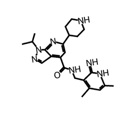 Cc1cc(C)c(CNC(=O)c2cc(C3CCNCC3)nc3c2cnn3C(C)C)c(=N)[nH]1